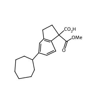 COC(=O)C1(C(=O)O)CCc2cc(C3CCCCCC3)ccc21